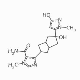 Cn1cnc(C2CC3CC(O)(c4cc(O)nn4C)CC3C2)c1C(N)=O